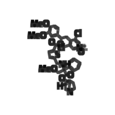 COCC(NCc1ccc(C(=O)OC(Cc2c(Cl)c[n+]([O-])cc2Cl)c2ccc(OC)c(OC)c2)s1)(C(=O)O[C@H]1CN2CCC1CC2)c1ccccc1